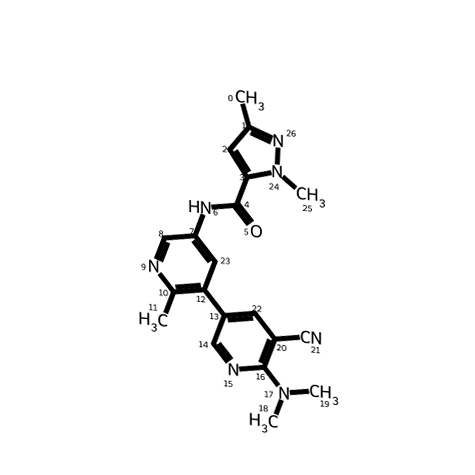 Cc1cc(C(=O)Nc2cnc(C)c(-c3cnc(N(C)C)c(C#N)c3)c2)n(C)n1